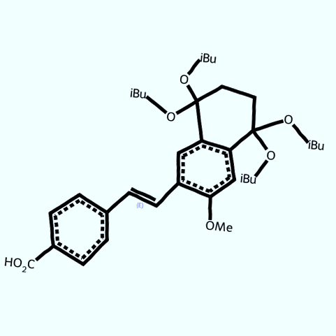 CCC(C)OC1(OC(C)CC)CCC(OC(C)CC)(OC(C)CC)c2cc(OC)c(/C=C/c3ccc(C(=O)O)cc3)cc21